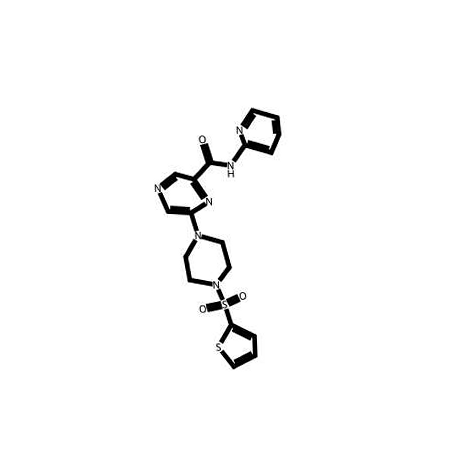 O=C(Nc1ccccn1)c1cncc(N2CCN(S(=O)(=O)c3cccs3)CC2)n1